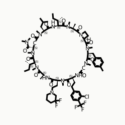 CC[C@H](C)[C@@H]1NC(=O)[C@H](CC(C)C)N(C)C(=O)C[C@@H](C(=O)N(C)C)N(C)C(=O)[C@H]([C@@H](C)CC)N(C)C(=O)[C@H](C)NC(=O)[C@H](CCN2CCCC(F)(F)C2)N(C)C(=O)[C@H](CCc2ccc(C(F)(F)F)c(Cl)c2)NC(=O)CN(C)C(=O)[C@H](Cc2ccc(C)cc2)N(C)C(=O)[C@@H]2CCN2C(=O)[C@H](C)N(C)C1=O